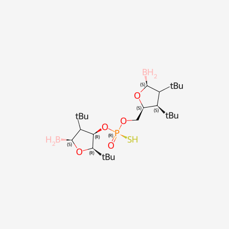 B[C@@H]1O[C@H](C(C)(C)C)[C@H](O[P@](=O)(S)OC[C@H]2O[C@@H](B)C(C(C)(C)C)[C@H]2C(C)(C)C)C1C(C)(C)C